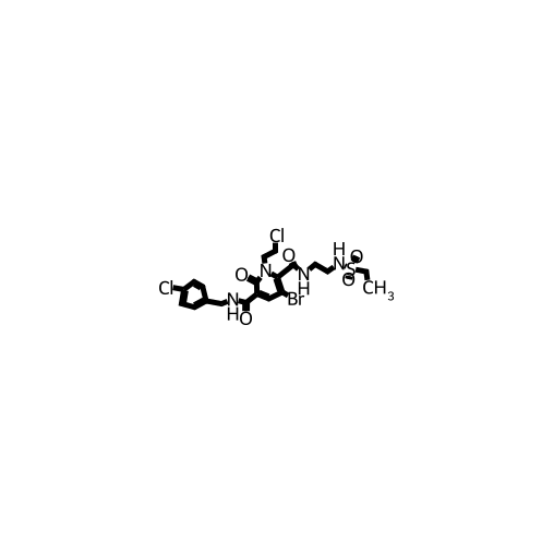 CCS(=O)(=O)NCCNC(=O)c1c(Br)cc(C(=O)NCc2ccc(Cl)cc2)c(=O)n1CCCl